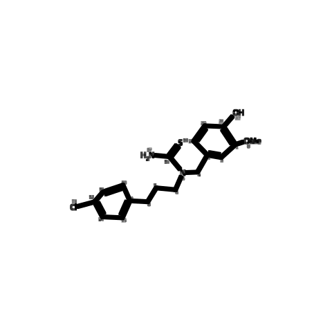 COc1cc(CN(CCCc2ccc(Cl)cc2)C(N)=S)ccc1O